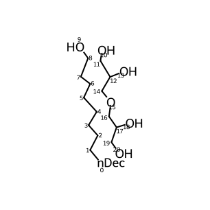 CCCCCCCCCCCCCCCCCCO.OCC(O)COCC(O)CO